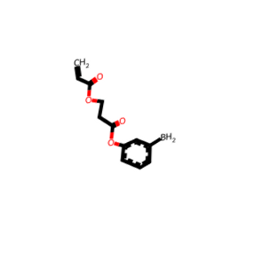 Bc1cccc(OC(=O)CCOC(=O)C=C)c1